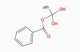 CCCC(O)(O)OC(=O)c1ccccc1